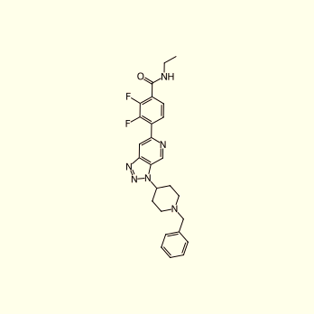 CCNC(=O)c1ccc(-c2cc3nnn(C4CCN(Cc5ccccc5)CC4)c3cn2)c(F)c1F